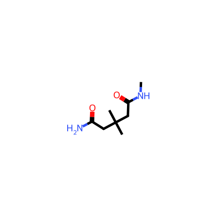 CNC(=O)CC(C)(C)CC(N)=O